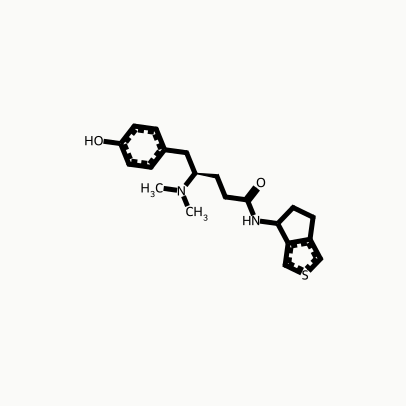 CN(C)[C@H](CCC(=O)NC1CCc2cscc21)Cc1ccc(O)cc1